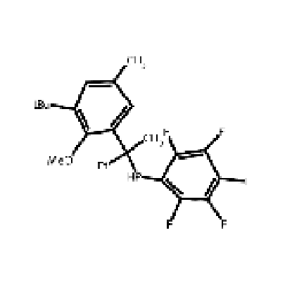 CCC(C)(Pc1c(F)c(F)c(F)c(F)c1F)c1cc(C)cc(C(C)(C)C)c1OC